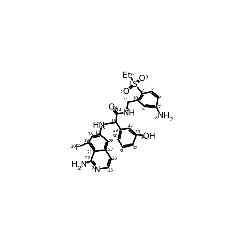 CCS(=O)(=O)c1ccc(N)cc1CNC(=O)C(Nc1cc(F)c2c(N)nccc2c1)c1cccc(O)c1